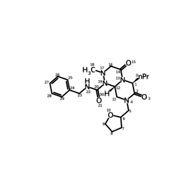 CCC[C@H]1C(=O)N(CC2CCCO2)C[C@H]2N1C(=O)CN(C)N2C(=O)NCc1ccccc1